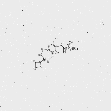 CC(C)(C)C(=O)NCc1ccc2c(c1)CCN(C1CCC1)CC2